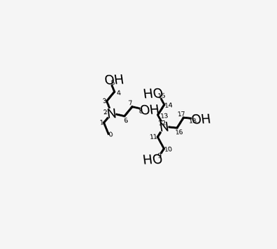 CCN(CCO)CCO.OCCN(CCO)CCO